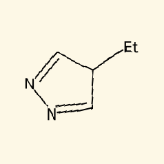 CCC1C=NN=C1